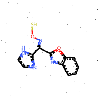 SO/N=C(\c1ncc[nH]1)c1nc2ccccc2o1